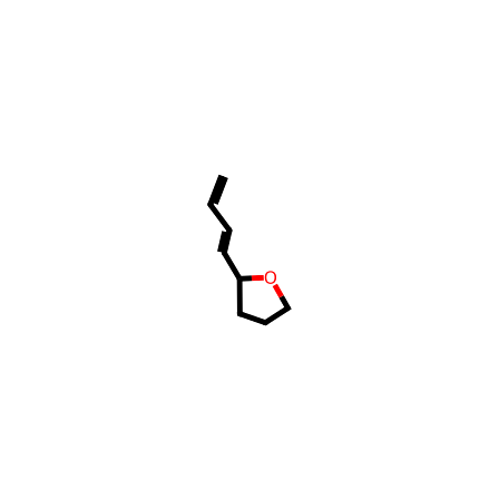 C=CC=CC1CCCO1